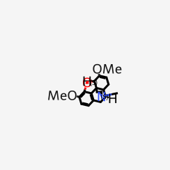 COC1=CCC2[C@@H]3Cc4ccc(OC)c5c4C2(CCN3C)[C@@H]1O5